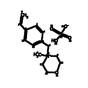 C=Cc1ccc(C[N+]2(C)CCOCC2)cc1.O=S(=O)([O-])O